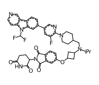 CC(C)N(CC1CCN(c2ncc(-c3ccc4c5cnccc5n(C(F)F)c4c3)cc2F)CC1)C1CC(Oc2ccc3c(c2)C(=O)N(C2CCC(=O)NC2=O)C3=O)C1